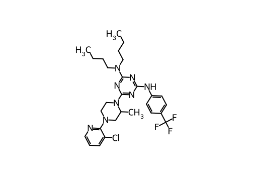 CCCCN(CCCC)c1nc(Nc2ccc(C(F)(F)F)cc2)nc(N2CCN(c3ncccc3Cl)CC2C)n1